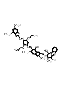 Cc1c(N=Nc2cc3c(O)c(N=Nc4cc(OCCO)c(N=Nc5nc6c(S(=O)(=O)O)cc(S(=O)(=O)O)cc6s5)cc4OCCO)c(S(=O)(=O)O)cc3cc2S(=O)(=O)O)c(O)n2c(nc3ccccc32)c1C#N